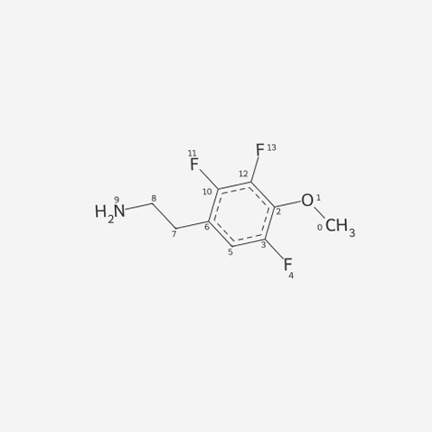 COc1c(F)cc(CCN)c(F)c1F